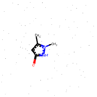 [CH2]c1cc(=O)[nH]n1C